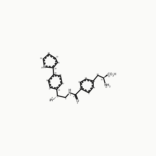 CC(C)[C@@H](CNC(=O)c1ccc(C[C@H](N)C(=O)O)cc1)c1ccc(-c2ccccn2)cc1